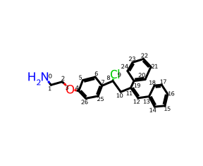 NCCOc1ccc(C(Cl)CC(=Cc2ccccc2)c2ccccc2)cc1